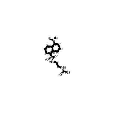 CCC(=O)NCCNS(=O)(=O)c1cccc2c(N(C)C)cccc12